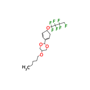 CCCCCOC1COC(C2=CCC(OC(F)(F)C(F)(F)C(F)(F)CF)C=C2)OC1